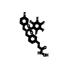 O=C(CCc1ccc(CN(Cc2ccc(F)cc2)S(=O)(=O)c2c(F)c(F)c(F)c(F)c2F)cc1)NO